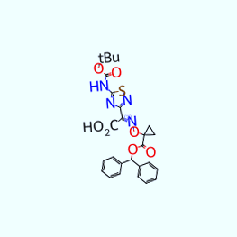 CC(C)(C)OC(=O)Nc1nc(/C(=N/OC2(C(=O)OC(c3ccccc3)c3ccccc3)CC2)C(=O)O)ns1